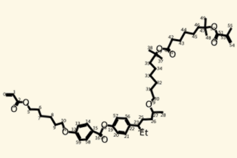 C=CC(=O)OCCCCCCOc1ccc(C(=O)Oc2ccc(C(CC)CCC(C)OCCCCCCC(C)(C)OC(=O)CCCCCC(C)(C)OC(=O)C(=C)C)cc2)cc1